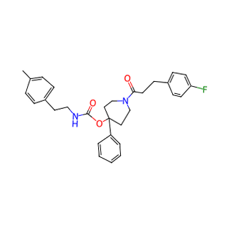 Cc1ccc(CCNC(=O)OC2(c3ccccc3)CCN(C(=O)CCc3ccc(F)cc3)CC2)cc1